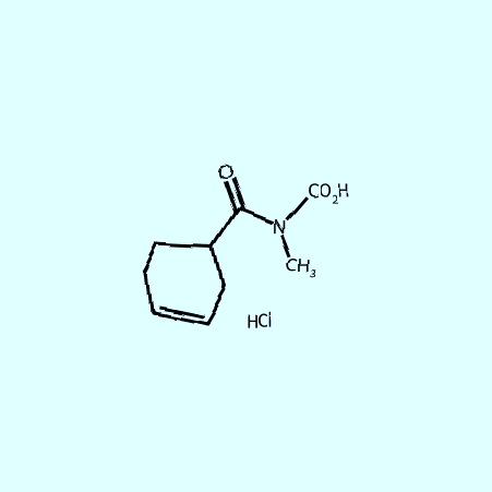 CN(C(=O)O)C(=O)C1CC=CCC1.Cl